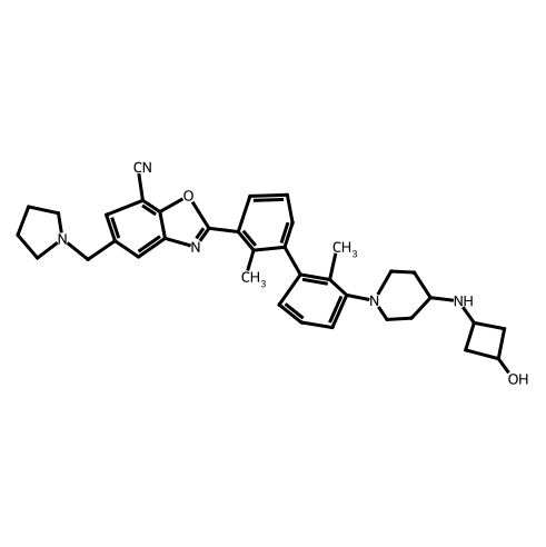 Cc1c(-c2nc3cc(CN4CCCC4)cc(C#N)c3o2)cccc1-c1cccc(N2CCC(NC3CC(O)C3)CC2)c1C